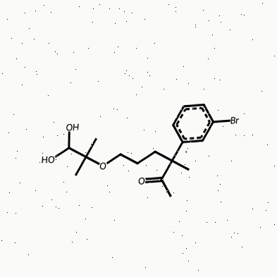 CC(=O)C(C)(CCCOC(C)(C)C(O)O)c1cccc(Br)c1